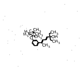 CCC(O)(/C=C/C=C(C)c1cccc(O[Si](C)(C)C(C)(C)C)c1)CC